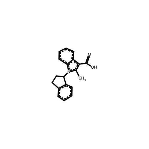 Cc1c(C(=O)O)c2ccccc2n1C1CCc2ccccc21